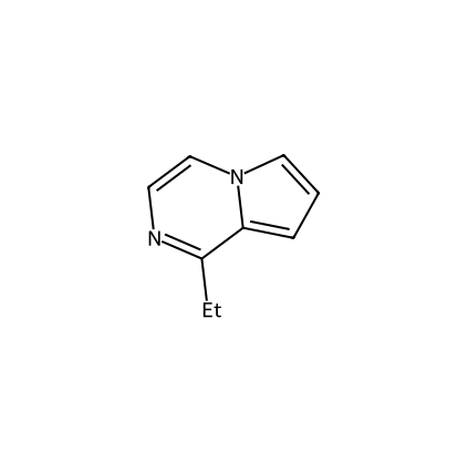 CCc1nccn2cccc12